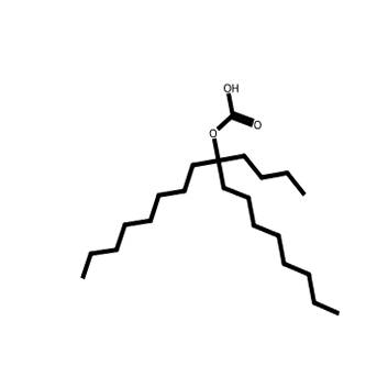 CCCCCCCCC(CCCC)(CCCCCCCC)OC(=O)O